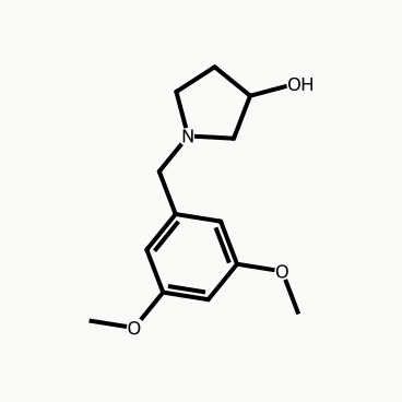 COc1cc(CN2CCC(O)C2)cc(OC)c1